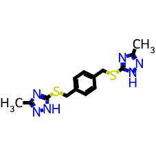 Cc1n[nH]c(SCc2ccc(CSc3nc(C)n[nH]3)cc2)n1